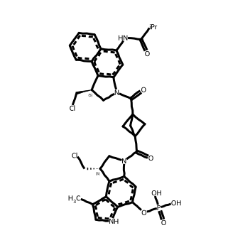 Cc1c[nH]c2c(OP(=O)(O)O)cc3c(c12)[C@H](CCl)CN3C(=O)C12CC(C(=O)N3C[C@@H](CCl)c4c3cc(NC(=O)C(C)C)c3ccccc43)(C1)C2